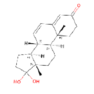 C[C@]12CCC(=O)C=C1C=C[C@@H]1[C@@H]2CC[C@@]2(C)[C@H]1CCC2(O)O